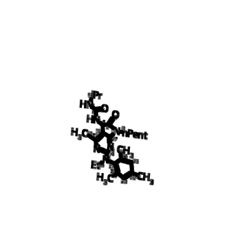 CCCCCN1C(=O)C(NC(=O)NC(C)C)c2c(C)nc(N(CC)c3c(C)cc(C)cc3C)nc21